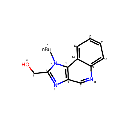 CCCCn1c(CO)nc2cnc3ccccc3c21